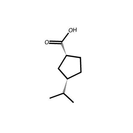 CC(C)[C@H]1CC[C@@H](C(=O)O)C1